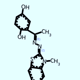 C/C(=N\N=c1/sc2ccccc2n1C)c1cc(O)ccc1O